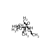 C=CCONN(C(=O)C=C)N(CO[Si](C)(C)O)OC=C